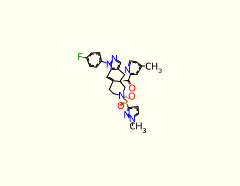 Cc1ccnc(C(=O)[C@]23Cc4cnn(-c5ccc(F)cc5)c4C=C2CCN(S(=O)(=O)c2ccn(C)n2)C3)c1